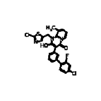 Cc1cccn2c(=O)c(-c3cccc(-c4ccc(Cl)cc4F)c3)c(O)[n+](Cc3cnc(Cl)s3)c12